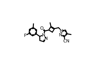 CC1=C(Cn2cc(C)c(C#N)n2)CC1C(=O)N1N=CCC1c1cc(C)cc(F)c1